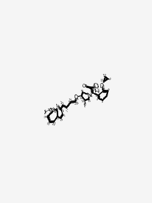 O=C(O)[C@H](c1ccccc1OC1CC1)N1C[C@@H](F)[C@@H](OCCCCc2ccc3c(n2)NCCC3)C1